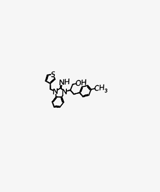 Cc1ccc(CC(CO)n2c(=N)n(Cc3ccsc3)c3ccccc32)cc1